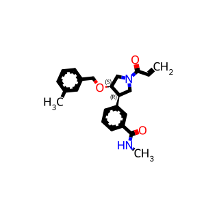 C=CC(=O)N1C[C@@H](OCc2cccc(C)c2)[C@H](c2cccc(C(=O)NC)c2)C1